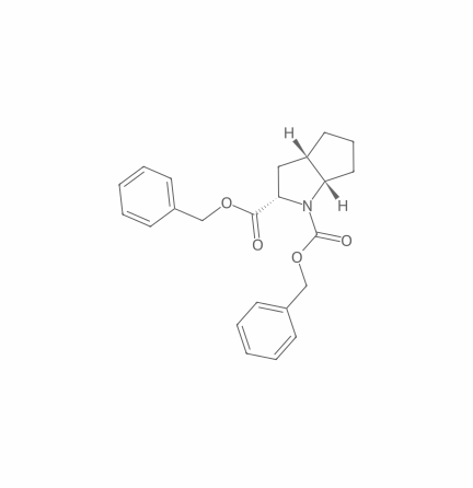 O=C(OCc1ccccc1)[C@@H]1C[C@@H]2CCC[C@@H]2N1C(=O)OCc1ccccc1